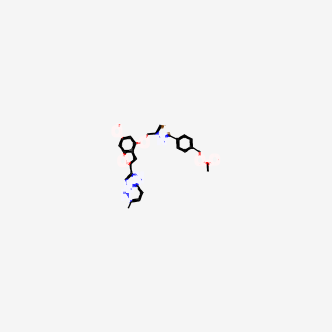 COc1cc(OCc2csc(-c3ccc(COC(C)=O)cc3)n2)c2cc(-c3cn4nc(C)ccc4n3)oc2c1